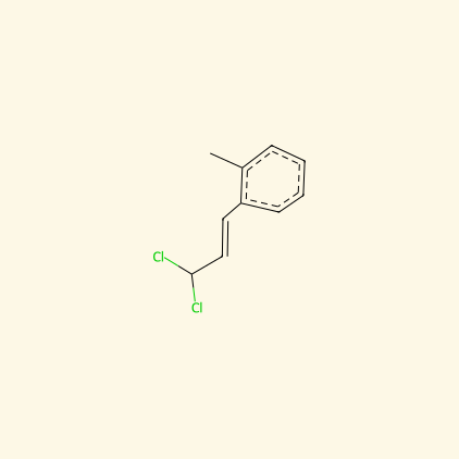 Cc1ccccc1C=CC(Cl)Cl